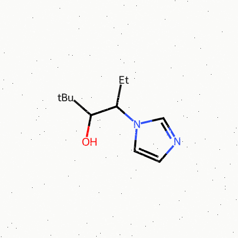 CCC(C(O)C(C)(C)C)n1ccnc1